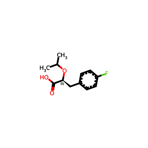 CC(C)O[C@@H](Cc1ccc(F)cc1)C(=O)O